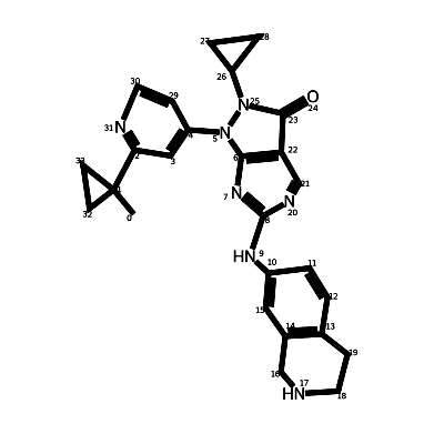 CC1(c2cc(-n3c4nc(Nc5ccc6c(c5)CNCC6)ncc4c(=O)n3C3CC3)ccn2)CC1